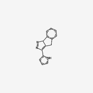 c1c[nH]c(C2=C3Cc4ccccc4C3N=N2)c1